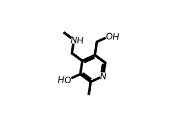 CNCc1c(CO)cnc(C)c1O